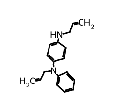 C=CCNc1ccc(N(CC=C)c2ccccc2)cc1